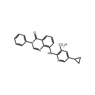 O=C(O)c1cc(C2CC2)cnc1Nc1cccc2c(=O)n(-c3ccccc3)cnc12